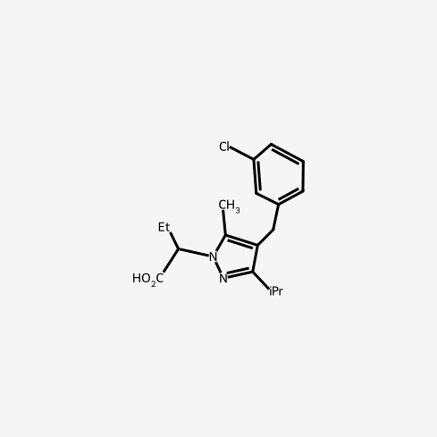 CCC(C(=O)O)n1nc(C(C)C)c(Cc2cccc(Cl)c2)c1C